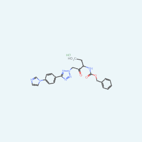 Cl.O=C(O)CC(NC(=O)OCc1ccccc1)C(=O)Cn1nnc(-c2ccc(-n3ccnc3)cc2)n1